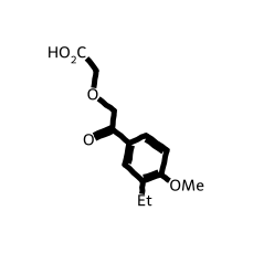 CCc1cc(C(=O)COCC(=O)O)ccc1OC